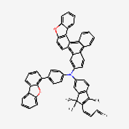 C=C/C=C\C1=C(C)c2ccc(N(c3ccc(-c4cccc5c4oc4ccccc45)cc3)c3ccc4c5ccccc5c5c(ccc6oc7ccccc7c65)c4c3)cc2C1(C)C